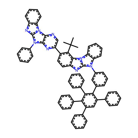 CC(C)(C)c1c(-c2cnc3c(n2)n(-c2ccccc2)c2nc4ccccc4n32)ccc2nc3n(-c4cccc(-c5c(-c6ccccc6)cc(-c6ccccc6)c(-c6ccccc6)c5-c5ccccc5)c4)c4ccccc4n3c12